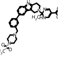 CC1(N2CCc3[nH]c4ccc(-c5cccc(CN6CCN(S(C)(=O)=O)CC6)c5)cc4c3C2)N=CC(C(=O)O)=CN1